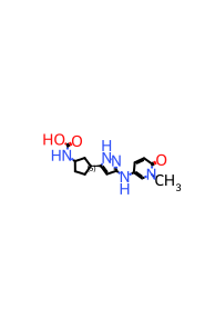 Cn1cc(Nc2cc([C@H]3CCC(NC(=O)O)C3)[nH]n2)ccc1=O